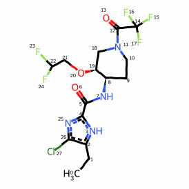 CCc1[nH]c(C(=O)N[C@@H]2CCN(C(=O)C(F)(F)F)C[C@@H]2OCC(F)F)nc1Cl